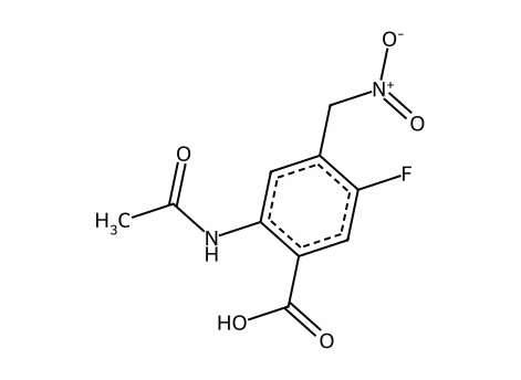 CC(=O)Nc1cc(C[N+](=O)[O-])c(F)cc1C(=O)O